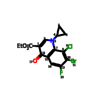 CCOC(=O)c1cn(C2CC2)c2c(Cl)c(Br)c(F)cc2c1=O